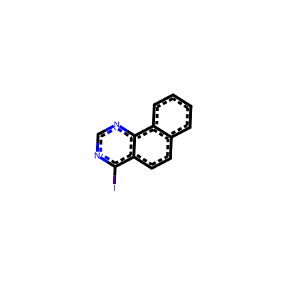 Ic1ncnc2c1ccc1ccccc12